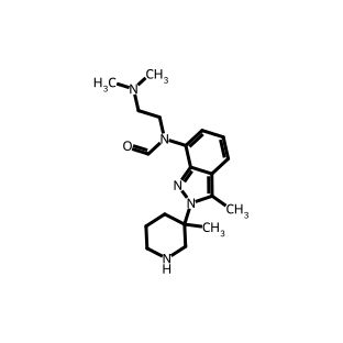 Cc1c2cccc(N(C=O)CCN(C)C)c2nn1C1(C)CCCNC1